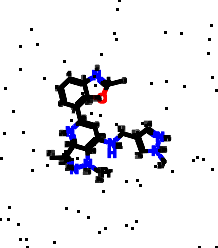 Cc1nc2cccc(-c3cc(NCc4cnn(C)c4)c4c(n3)c(C)nn4C(C)C)c2o1